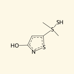 CS(C)(S)c1cc(O)ns1